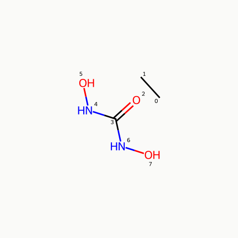 CC.O=C(NO)NO